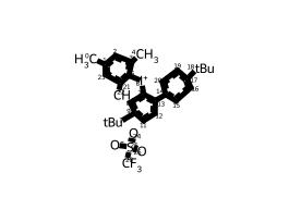 Cc1cc(C)c([I+]c2cc(C(C)(C)C)ccc2-c2ccc(C(C)(C)C)cc2)c(C)c1.O=S(=O)([O-])C(F)(F)F